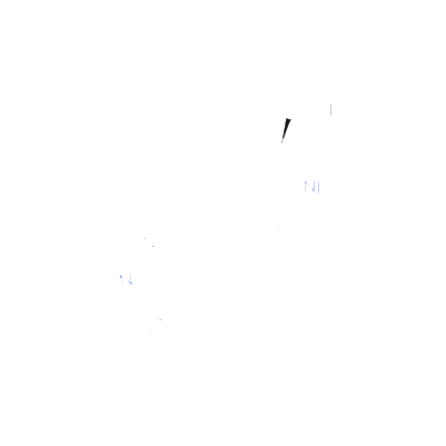 O=C(O)[C@@H]1CC(c2c[nH]nn2)CN1